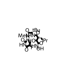 CNC(=O)[C@@H](NC(=O)[C@H](CC(C)C)[C@H](O)C(=O)NO)C(C)(C)C.O=c1[nH]cc(F)c(=O)[nH]1